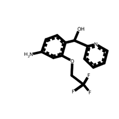 Nc1ccc(C(O)c2ccccn2)c(OCC(F)(F)F)c1